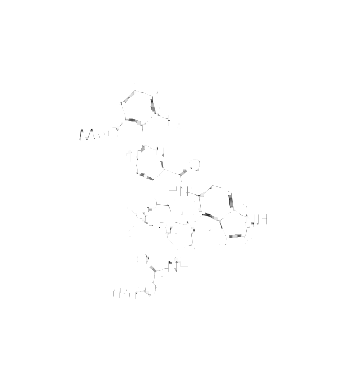 COc1cccc(F)c1-c1nccc(C(=O)Nc2ccc3[nH]ccc3c2N2C[C@@H](NC(=O)OC(C)(C)C)C[C@H]2CO[Si](C)(C)C(C)(C)C)n1